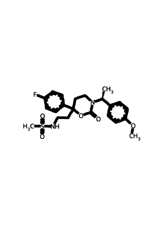 COc1ccc([C@H](C)N2CCC(CCNS(C)(=O)=O)(c3ccc(F)cc3)OC2=O)cc1